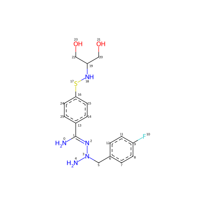 N/C(=N\N(N)Cc1ccc(F)cc1)c1ccc(SNC(CO)CO)cc1